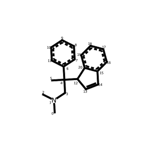 CN(C)CC(C)(c1ccccc1)C1C=Cc2ccccc21